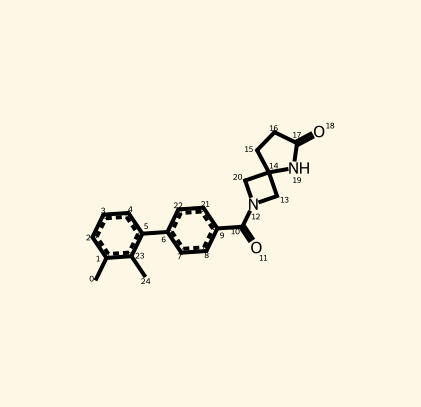 Cc1cccc(-c2ccc(C(=O)N3CC4(CCC(=O)N4)C3)cc2)c1C